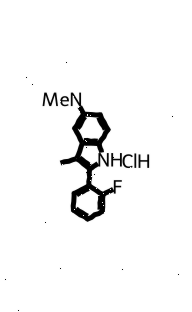 CNc1ccc2[nH]c(-c3ccccc3F)c(C)c2c1.Cl